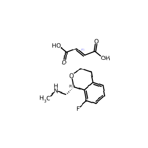 CNC[C@@H]1OCCc2cccc(F)c21.O=C(O)/C=C/C(=O)O